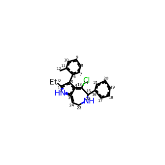 CCc1[nH]c2c(c1-c1ccccc1C)=C(Cl)C(c1ccccc1)NCC=2